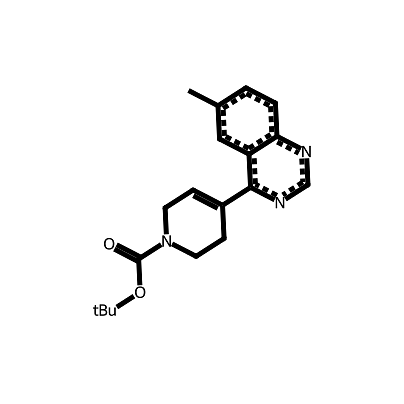 Cc1ccc2ncnc(C3=CCN(C(=O)OC(C)(C)C)CC3)c2c1